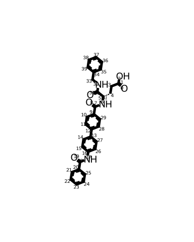 O=C(O)CC[C@H](NC(=O)c1ccc(-c2ccc(NC(=O)c3ccccc3)cc2)cc1)C(=O)NCc1ccccc1